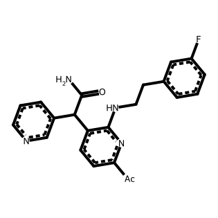 CC(=O)c1ccc(C(C(N)=O)c2cccnc2)c(NCCc2cccc(F)c2)n1